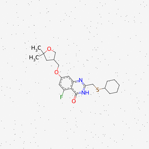 CC1(C)CC(COc2cc(F)c3c(=O)[nH]c(CSC4CCCCC4)nc3c2)CO1